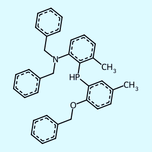 Cc1ccc(OCc2ccccc2)c(Pc2c(C)cccc2N(Cc2ccccc2)Cc2ccccc2)c1